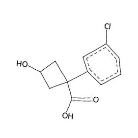 O=C(O)C1(c2cccc(Cl)c2)CC(O)C1